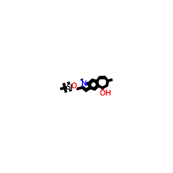 CC1C=Cc2cc3c(cc2C(O)C1)cc(CO[Si](C)(C)C(C)(C)C)n3C